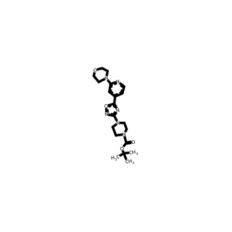 CC(C)(C)OC(=O)N1CCN(c2noc(-c3ccnc(N4CCOCC4)c3)n2)CC1